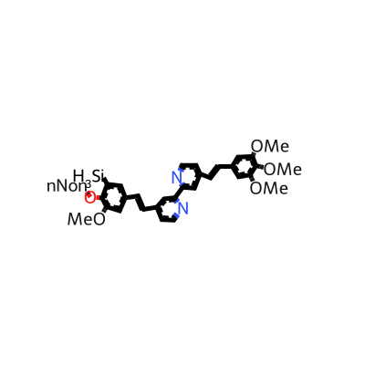 CCCCCCCCCOc1c([SiH3])cc(/C=C/c2ccnc(-c3cc(/C=C/c4cc(OC)c(OC)c(OC)c4)ccn3)c2)cc1OC